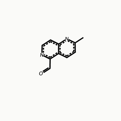 Cc1ccc2c(C=O)nccc2n1